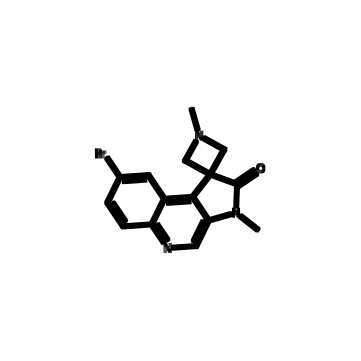 CN1CC2(C1)C(=O)N(C)c1cnc3ccc(Br)cc3c12